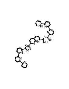 N=C(SC(=N)c1ccc2ccc(-c3nnc(-c4cccc(-c5cccc(-c6ccccn6)n5)n4)s3)nc2n1)c1cccc(-c2cccc(C3C=CC=CN3)n2)n1